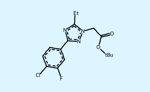 CCc1nc(-c2ccc(Cl)c(F)c2)nn1CC(=O)OC(C)(C)C